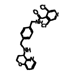 O=C(NCc1ccc(CNC2CCOc3cccnc32)cc1)c1c(Cl)cncc1Cl